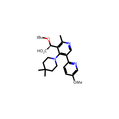 COc1ccc(-c2cnc(C)c([C@H](OC(C)(C)C)C(=O)O)c2N2CCC(C)(C)CC2)nc1